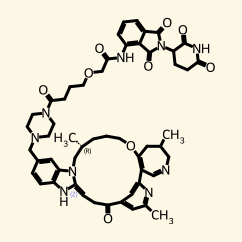 Cc1cc2cc(n1)C1=C(CC(C)CN=C1)OCCC[C@@H](C)CN1/C(=C\CC2=O)Nc2ccc(CN3CCN(C(=O)CCCOCC(=O)Nc4cccc5c4C(=O)N(C4CCC(=O)NC4=O)C5=O)CC3)cc21